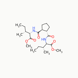 CC[C@@H](C)C(NC(=O)[C@H]1CCC[C@@H]1C(=O)N[C@H](C(=O)OC)[C@H](C)CC)C(=O)OC